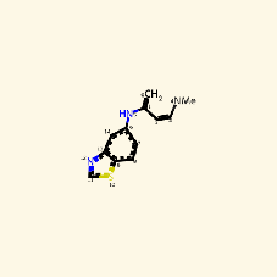 C=C(/C=C\NC)Nc1ccc2scnc2c1